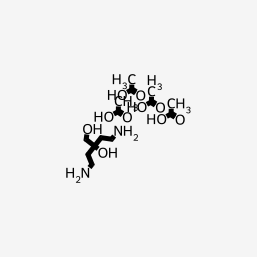 CC(=O)O.CC(=O)O.CC(=O)O.CC(=O)O.NCCC(O)(CO)CCN